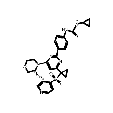 C[C@H]1COCCN1c1cc(C2(S(=O)(=O)c3ccncc3)CC2)nc(-c2ccc(NC(=S)NC3CC3)cc2)n1